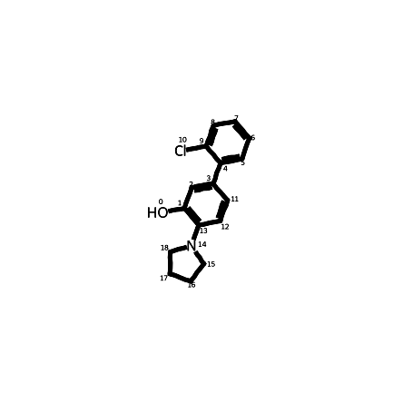 Oc1cc(-c2ccccc2Cl)ccc1N1CCCC1